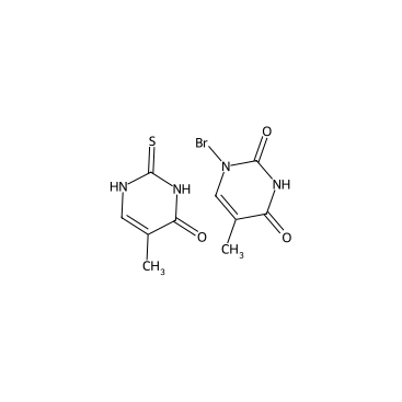 Cc1c[nH]c(=S)[nH]c1=O.Cc1cn(Br)c(=O)[nH]c1=O